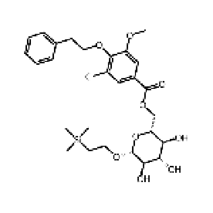 COc1cc(C(=O)OC[C@H]2O[C@@H](OCC[Si](C)(C)C)[C@H](O)[C@@H](O)[C@@H]2O)cc(Cl)c1OCCc1ccccc1